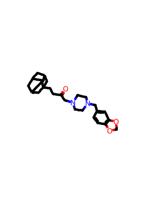 O=C(CCC12CC3CC(CC(C3)C1)C2)CN1CCN(Cc2ccc3c(c2)OCO3)CC1